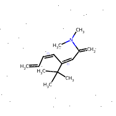 C=C/C=C\C(=C/C(=C)N(C)C)C(C)(C)C